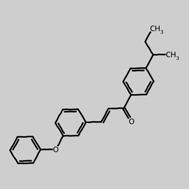 CCC(C)c1ccc(C(=O)C=Cc2cccc(Oc3ccccc3)c2)cc1